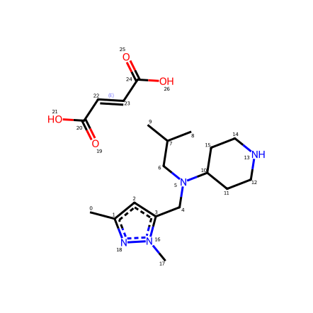 Cc1cc(CN(CC(C)C)C2CCNCC2)n(C)n1.O=C(O)/C=C/C(=O)O